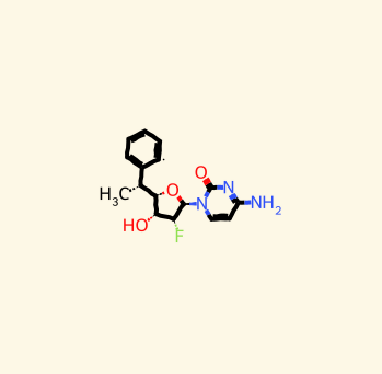 C[C@H](c1[c]cccc1)[C@@H]1O[C@@H](n2ccc(N)nc2=O)[C@H](F)[C@@H]1O